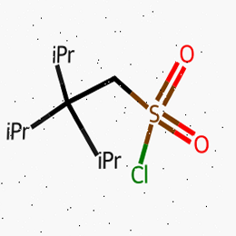 CC(C)C(CS(=O)(=O)Cl)(C(C)C)C(C)C